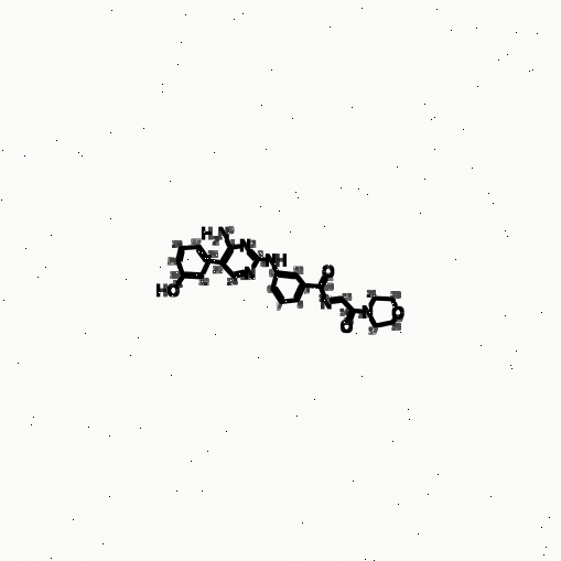 Nc1nc(Nc2cccc(C(=O)N=CC(=O)N3CCOCC3)c2)ncc1-c1cccc(O)c1